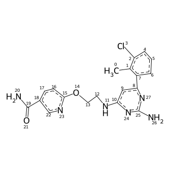 Cc1c(Cl)cccc1-c1cc(NCCOc2ccc(C(N)=O)cn2)nc(N)n1